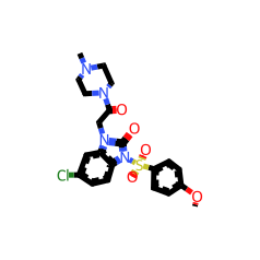 COc1ccc(S(=O)(=O)n2c(=O)n(CC(=O)N3CCN(C)CC3)c3cc(Cl)ccc32)cc1